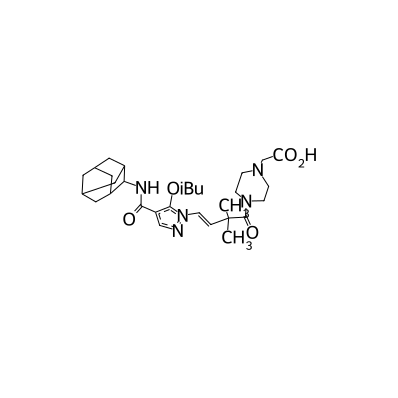 CC(C)COc1c(C(=O)NC2C3CC4CC(C3)CC2C4)cnn1/C=C/C(C)(C)C(=O)N1CCN(CC(=O)O)CC1